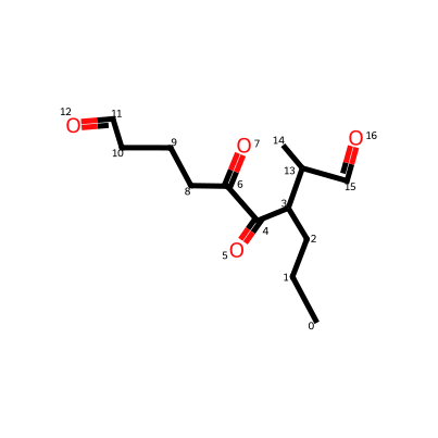 CCCC(C(=O)C(=O)CCCC=O)C(C)C=O